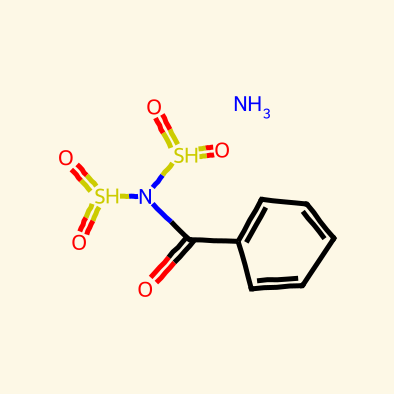 N.O=C(c1ccccc1)N([SH](=O)=O)[SH](=O)=O